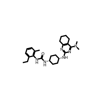 CCc1cccc(C)c1NC(=O)N[C@H]1CC[C@@H](Nc2nc3c(c(N(C)C)n2)CCCC3)CC1